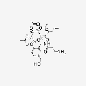 C=CCOC(=O)[C@H]1O[C@@H](Oc2ccc(CO)cc2CNC(=O)CCN)[C@H](OC(C)=O)[C@@H](OC(C)=O)[C@@H]1OC(C)=O